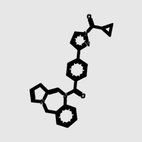 O=C(c1ccc(-c2ccn(C(=O)C3CC3)n2)cc1)N1C=C2CC=CN2Cc2ccccc21